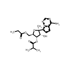 CCC(=O)OC[C@H]1O[C@@](C)(c2ccc3c(N)ncnn23)[C@H](O)[C@@H]1OC(=O)C(C)C